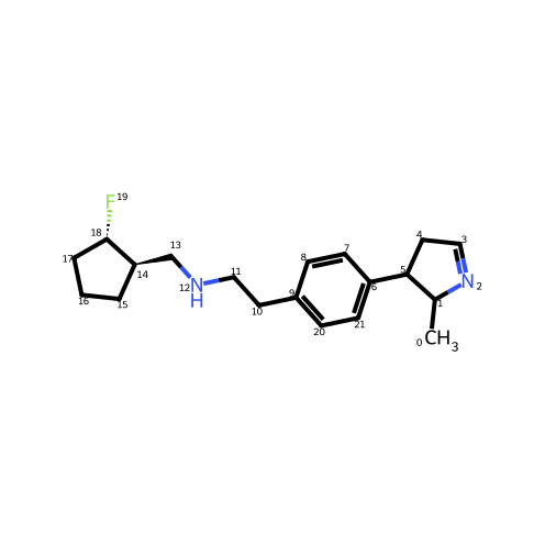 CC1N=CCC1c1ccc(CCNC[C@H]2CCC[C@@H]2F)cc1